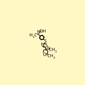 CO[C@@]1(c2cnc(Sc3ccc(/C(C)=N\O)cc3)s2)CCO[C@@H](C)C1